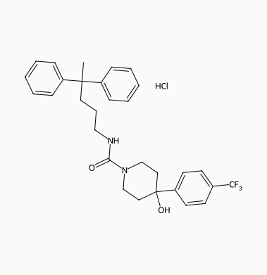 CC(CCCNC(=O)N1CCC(O)(c2ccc(C(F)(F)F)cc2)CC1)(c1ccccc1)c1ccccc1.Cl